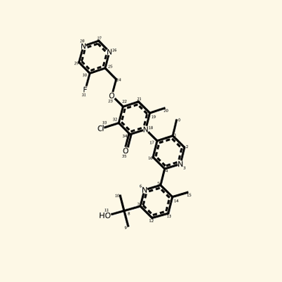 Cc1cnc(-c2nc(C(C)(C)O)ccc2C)cc1-n1c(C)cc(OCc2ncncc2F)c(Cl)c1=O